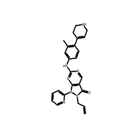 C=CCn1c(=O)c2cnc(Nc3ccc(C4=CCNCC4)c(C)c3)nc2n1-c1ccccn1